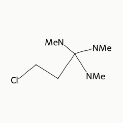 CNC(CCCl)(NC)NC